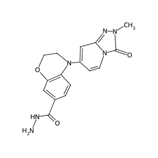 Cn1nc2cc(N3CCOc4cc(C(=O)NN)ccc43)ccn2c1=O